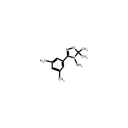 Cc1cc(C)cc(C2=NOC(C)(C)N2N)c1